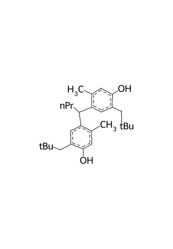 CCCC(c1cc(CC(C)(C)C)c(O)cc1C)c1cc(CC(C)(C)C)c(O)cc1C